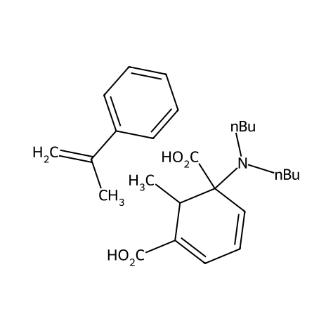 C=C(C)c1ccccc1.CCCCN(CCCC)C1(C(=O)O)C=CC=C(C(=O)O)C1C